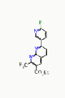 CCOC(=O)c1cc2ccc(-c3ccc(F)nc3)nc2nc1C(F)(F)F